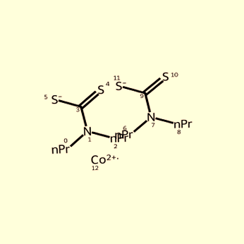 CCCN(CCC)C(=S)[S-].CCCN(CCC)C(=S)[S-].[Co+2]